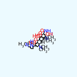 CN(C)Cc1ccc(-c2cc(N(C)C)c3c(c2O)C(=O)C2=C(O)[C@@]4(O)C(=O)C(C(N)=O)=C(O)[C@H](N(C)C)[C@H]4C[C@H]2C3)[nH]1